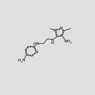 Cc1nn(C)c(NCCNc2ccc(N)cn2)c1N